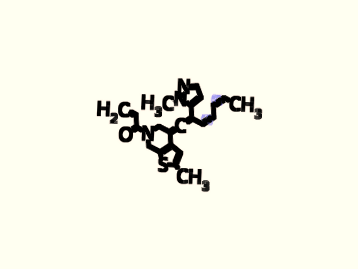 C=CC(=O)N1CC(=C=C(/C=C\C=C/C)c2ccnn2C)c2cc(C)sc2C1